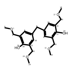 COCc1cc(Cc2cc(COC)c(O)c(COC)c2)cc(COC)c1O